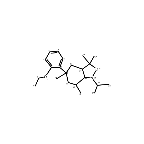 CCOc1ccccc1C1(C)CC(C)C2C(C1)C(C)(C)ON2C(C)C